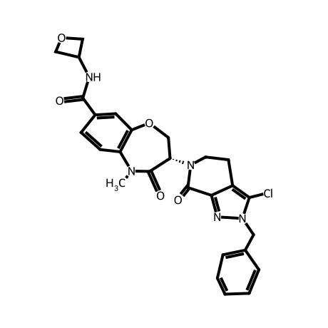 CN1C(=O)[C@@H](N2CCc3c(nn(Cc4ccccc4)c3Cl)C2=O)COc2cc(C(=O)NC3COC3)ccc21